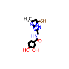 Cc1cc(S)n2nc(CNC(=O)c3ccc(O)c(O)c3)nc2n1